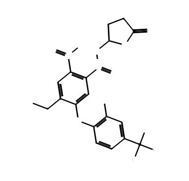 CCc1cc([N+](=O)[O-])c([PH](=O)OC2CCC(=O)O2)cc1Oc1ccc(C(F)(F)F)cc1Cl